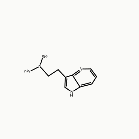 CCCN(CCC)CCc1c[nH]c2cccnc12